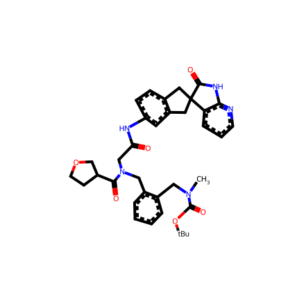 CN(Cc1ccccc1CN(CC(=O)Nc1ccc2c(c1)CC1(C2)C(=O)Nc2ncccc21)C(=O)C1CCOC1)C(=O)OC(C)(C)C